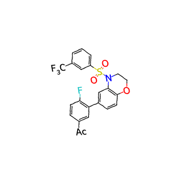 CC(=O)c1ccc(F)c(-c2ccc3c(c2)N(S(=O)(=O)c2cccc(C(F)(F)F)c2)CCO3)c1